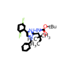 C=CC(C)(C)[C@@H](NC(=O)OC(C)(C)C)c1nc(-c2cc(F)ccc2F)cn1Cc1ccccc1